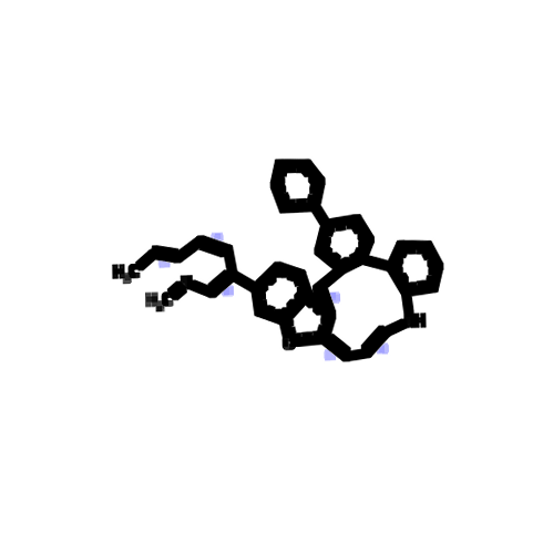 C=N\C=C(/C=C\C=C\C)c1ccc2c3/c(oc2c1)=C\C=C\Nc1ccccc1-c1ccc(-c2ccccc2)cc1/C=3